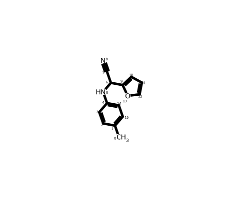 Cc1ccc(NC(C#N)c2ccco2)cc1